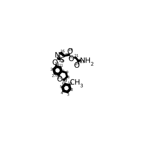 Cc1ccccc1[C@H]1CCc2cc(Oc3ncc(C(=O)OCC(N)=O)s3)ccc2O1